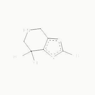 Cc1nc2c(o1)CNCC2(C)C